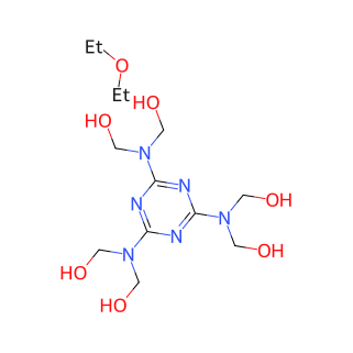 CCOCC.OCN(CO)c1nc(N(CO)CO)nc(N(CO)CO)n1